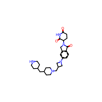 O=C1CCC(N2Cc3cc(N4CC(CN5CCC(CC6CCNCC6)CC5)C4)ccc3C2=O)C(=O)N1